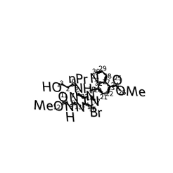 CCCC(CCO)Nc1nc(NC(=O)OC)nc2c(Br)nn(Cc3ccc(C(=O)OC)c4cccnc34)c12